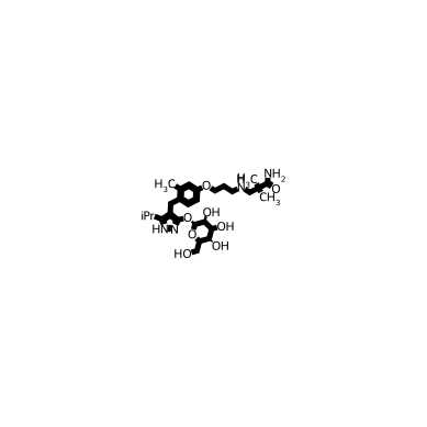 Cc1cc(OCCCNCC(C)(C)C(N)=O)ccc1Cc1c(O[C@@H]2OC(CO)[C@@H](O)C(O)[C@@H]2O)n[nH]c1C(C)C